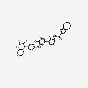 CCN(CC)C(=O)C(c1ccc(Nc2nc(-c3cccc(NC(=O)c4cc5c(s4)CCCCC5)c3C)cn(C)c2=O)cc1)N1CCOCC1